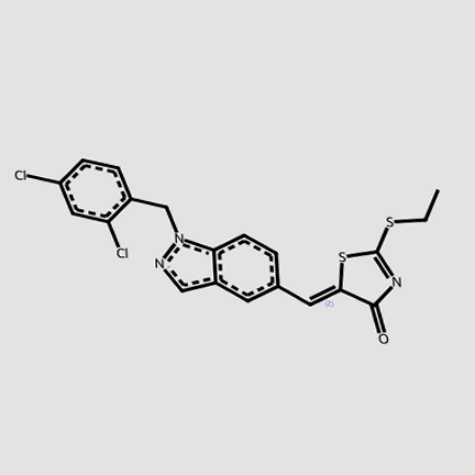 CCSC1=NC(=O)/C(=C/c2ccc3c(cnn3Cc3ccc(Cl)cc3Cl)c2)S1